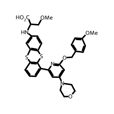 COCC(Nc1ccc2c(c1)Sc1cccc(-c3cc(N4CCOCC4)cc(OCc4ccc(OC)cc4)n3)c1S2)C(=O)O